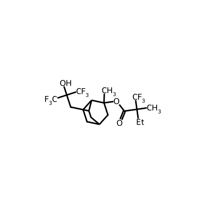 CCC(C)(C(=O)OC1(C)CC2CCC1C(CC(O)(C(F)(F)F)C(F)(F)F)C2)C(F)(F)F